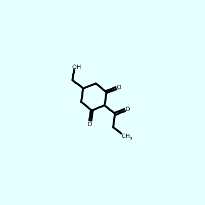 CCC(=O)C1C(=O)CC(CO)CC1=O